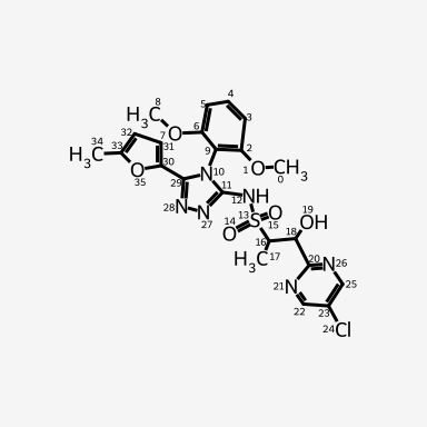 COc1cccc(OC)c1-n1c(NS(=O)(=O)C(C)C(O)c2ncc(Cl)cn2)nnc1-c1ccc(C)o1